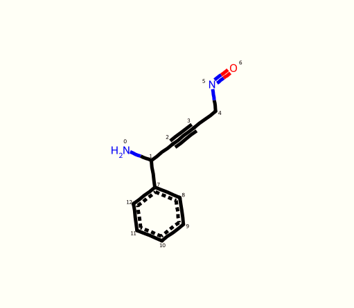 NC(C#CCN=O)c1ccccc1